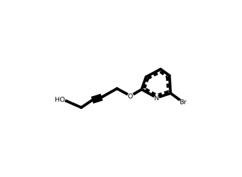 OCC#CCOc1cccc(Br)n1